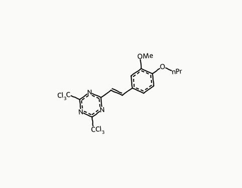 CCCOc1ccc(C=Cc2nc(C(Cl)(Cl)Cl)nc(C(Cl)(Cl)Cl)n2)cc1OC